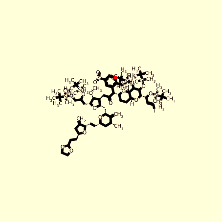 C=C1C[C@H](CCC2OCCO2)O[C@H]1CC[C@H]1C[C@@H](C)C(=C)[C@@H](C[C@@H]2O[C@H](CC(CO[Si](C)(C)C(C)(C)C)O[Si](C)(C)C(C)(C)C)[C@H](OC)[C@H]2CC(=O)C(c2cc([SH](=O)=O)ccc2CC)[C@H]2CC[C@@H]3O[C@@H](C(/C=C/I)O[Si](C)(C)C(C)(C)C)C(O[Si](C)(C)C(C)(C)C)C(O[Si](C)(C)C(C)(C)C)[C@H]3O2)O1